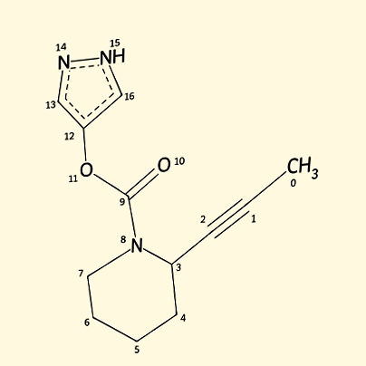 CC#CC1CCCCN1C(=O)Oc1cn[nH]c1